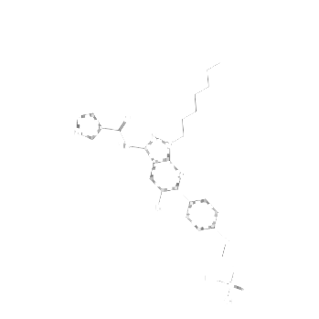 CCCCCCCn1nc(NC(=O)c2cnsc2)c2cc(Br)c(-c3ccc(OCOP(=O)(O)O)cc3)nc21